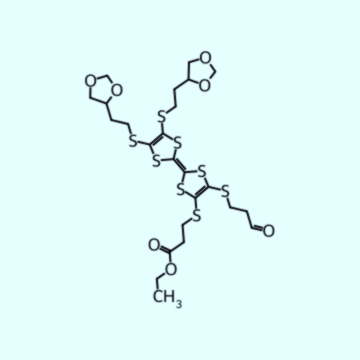 CCOC(=O)CCSC1=C(SCCC=O)SC(=C2SC(SCCC3COCO3)=C(SCCC3COCO3)S2)S1